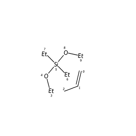 C=CC.CCO[Si](CC)(CC)OCC